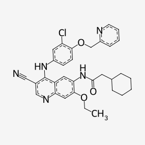 CCOc1cc2ncc(C#N)c(Nc3ccc(OCc4ccccn4)c(Cl)c3)c2cc1NC(=O)CC1CCCCC1